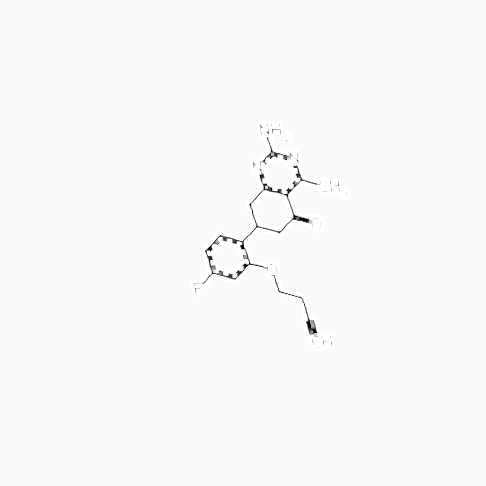 C#CCCOc1cc(F)ccc1C1CC(=O)c2c(C)nc(N)nc2C1